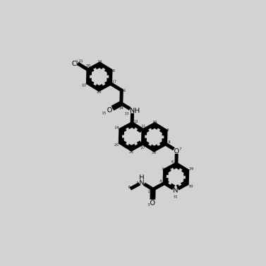 CNC(=O)c1cc(Oc2ccc3c(NC(=O)Cc4ccc(Cl)cc4)cccc3c2)ccn1